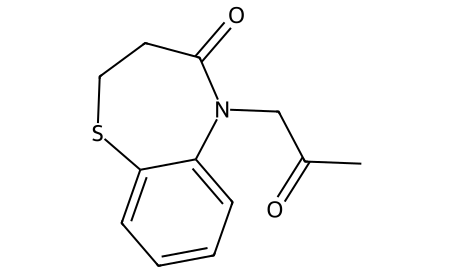 CC(=O)CN1C(=O)CCSc2ccccc21